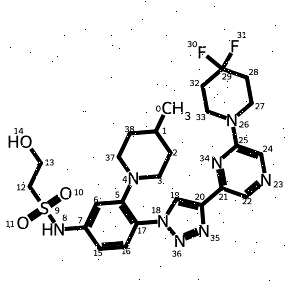 CC1CCN(c2cc(NS(=O)(=O)CCO)ccc2-n2cc(-c3cncc(N4CCC(F)(F)CC4)n3)nn2)CC1